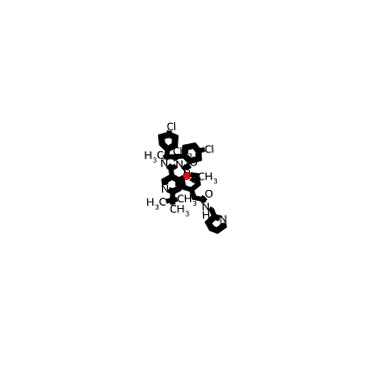 CCOc1cc(C(C)(C)C)ncc1C1=N[C@@](C)(c2ccc(Cl)cc2)[C@@](C)(c2ccc(Cl)cc2)N1C(=O)N1CCC(CC(=O)NCc2ccccn2)CC1